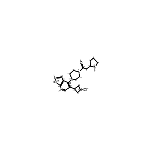 Cl.O=C(CC1CCCN1)N1CCN(c2c(C3CCC3)cnc3[nH]ncc23)CC1